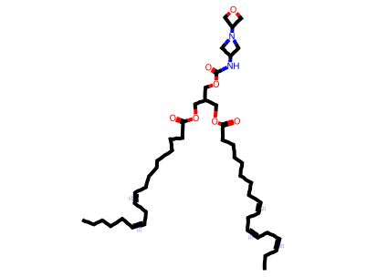 CC/C=C\C/C=C\C/C=C\CCCCCCCC(=O)OCC(COC(=O)CCCCCCC/C=C\C/C=C\CCCCC)COC(=O)NC1CN(C2COC2)C1